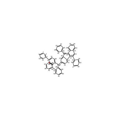 c1ccc(-c2ccc(N(c3ccc4c5c(-c6ccccc6)cc6ccccc6c5n(-c5ccccc5)c4c3)c3ccccc3-c3ccccc3)cc2)cc1